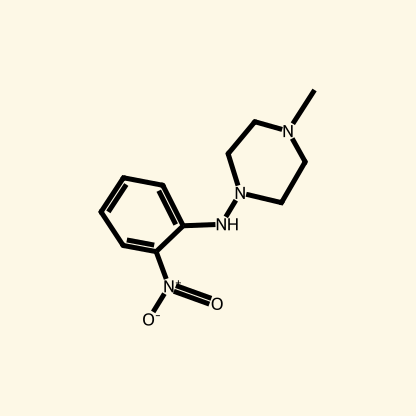 CN1CCN(Nc2ccccc2[N+](=O)[O-])CC1